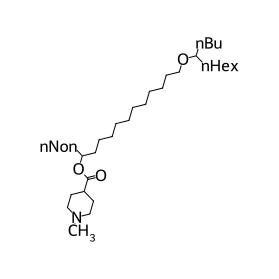 CCCCCCCCCC(CCCCCCCCCCCOC(CCCC)CCCCCC)OC(=O)C1CCN(C)CC1